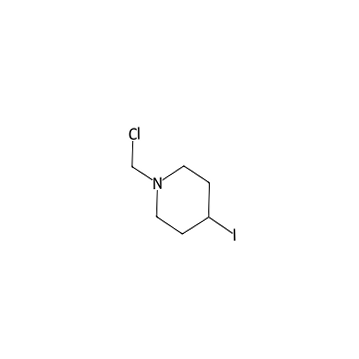 ClCN1CCC(I)CC1